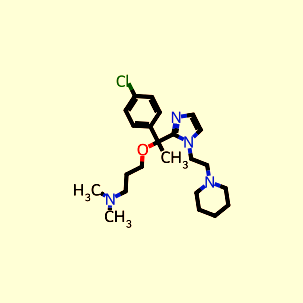 CN(C)CCCOC(C)(c1ccc(Cl)cc1)c1nccn1CCN1CCCCC1